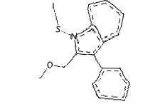 COCc1c(-c2ccccc2)c2ccccc2n1SI